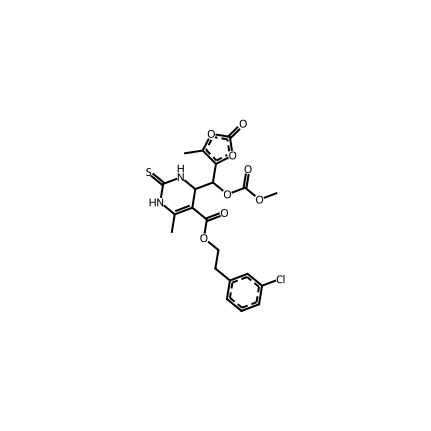 COC(=O)OC(c1oc(=O)oc1C)C1NC(=S)NC(C)=C1C(=O)OCCc1cccc(Cl)c1